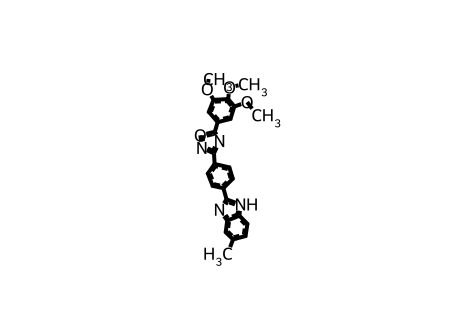 COc1cc(-c2nc(-c3ccc(-c4nc5cc(C)ccc5[nH]4)cc3)no2)cc(OC)c1OC